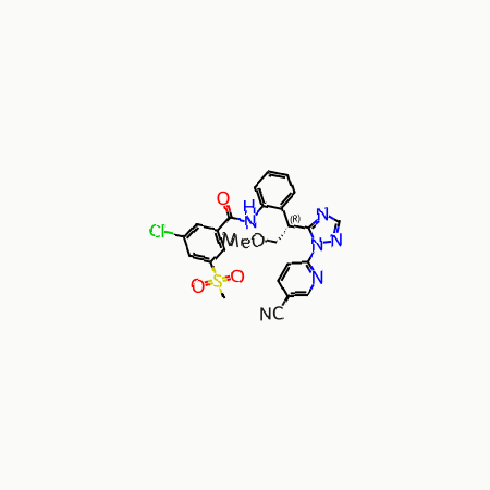 COC[C@H](c1ccccc1NC(=O)c1cc(Cl)cc(S(C)(=O)=O)c1)c1ncnn1-c1ccc(C#N)cn1